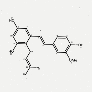 COc1cc(C=Cc2cc(O)cc(O)c2CC=C(C)C)ccc1O